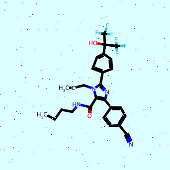 CCCCNC(=O)c1c(-c2ccc(C#N)cc2)nc(-c2ccc(C(O)(C(F)(F)F)C(F)(F)F)cc2)n1CCC